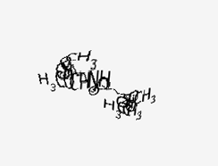 CO[Si](CCCCNC(=O)OCCCC[Si](OC)(OC)OC)(OC)OC